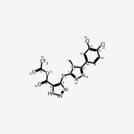 Cn1c(Sc2nn[nH]c2C(=O)OC(=O)C(F)(F)F)nnc1-c1ccc(Cl)c(Cl)c1